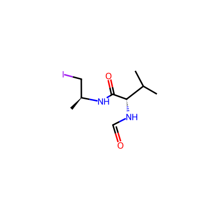 CC(C)[C@H](NC=O)C(=O)N[C@@H](C)CI